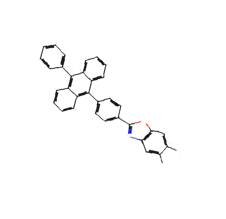 CCc1cc2nc(-c3ccc(-c4c5ccccc5c(-c5ccccc5)c5ccccc45)cc3)oc2cc1CC